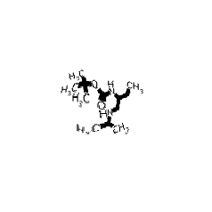 CCC(CNC(C)C)NC(=O)OC(C)(C)C